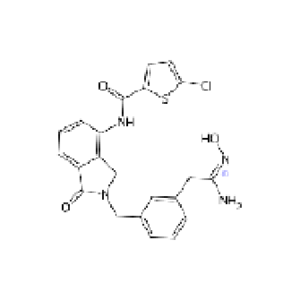 N/C(Cc1cccc(CN2Cc3c(NC(=O)c4ccc(Cl)s4)cccc3C2=O)c1)=N/O